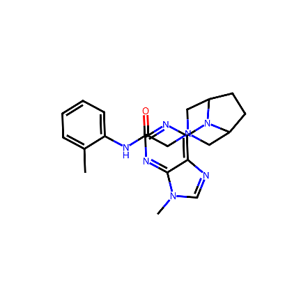 Cc1ccccc1NC(=O)CN1CC2CCC(C1)N2c1ncnc2c1ncn2C